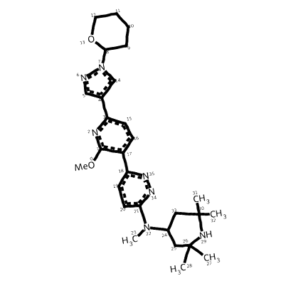 COc1nc(-c2cnn(C3CCCCO3)c2)ccc1-c1ccc(N(C)C2CC(C)(C)NC(C)(C)C2)nn1